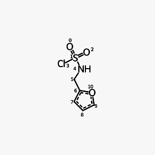 O=S(=O)(Cl)NCc1ccco1